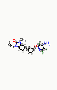 Cn1c(=O)n(CC2CC2)c2ccc(-c3cccc(Oc4nc(F)c(F)c(N)c4F)c3)cc21